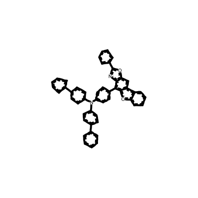 c1ccc(-c2ccc(N(c3ccc(-c4ccccc4)cc3)c3ccc(-c4c5nc(-c6ccccc6)oc5cc5c4oc4ccccc45)cc3)cc2)cc1